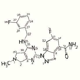 CN1Cc2nc(-n3ncc4c(C(N)=O)cc(F)cc43)nc(NCc3cccc(F)c3)c2C1